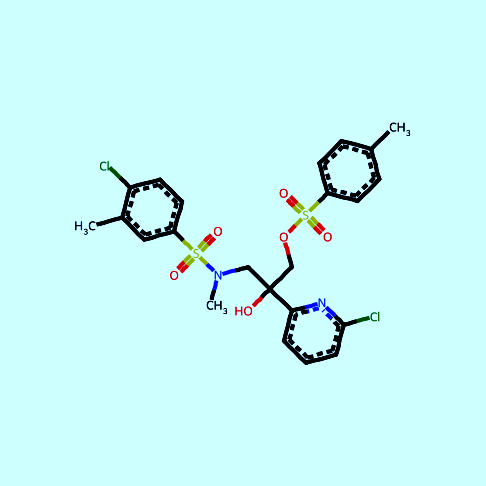 Cc1ccc(S(=O)(=O)OCC(O)(CN(C)S(=O)(=O)c2ccc(Cl)c(C)c2)c2cccc(Cl)n2)cc1